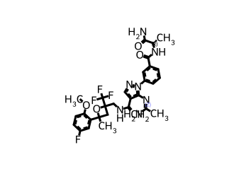 C=C(NCC1(C(F)(F)F)CC(C)(c2cc(F)ccc2OC)O1)c1cnn(-c2cccc(C(=O)N[C@H](C)C(N)=O)c2)c1/N=C(/C)N